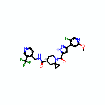 COc1cc(-c2cc(C(=O)N3CC[C@H](C(=O)NCc4ccncc4C(F)(F)F)CC34CC4)[nH]n2)c(F)cn1